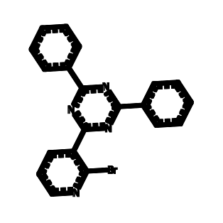 Brc1ncccc1-c1nc(-c2ccccc2)nc(-c2ccccc2)n1